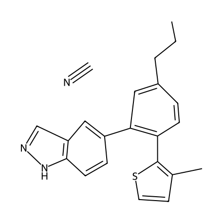 C#N.CCCc1ccc(-c2sccc2C)c(-c2ccc3[nH]ncc3c2)c1